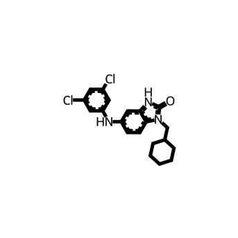 O=c1[nH]c2cc(Nc3cc(Cl)cc(Cl)c3)ccc2n1CC1CCCCC1